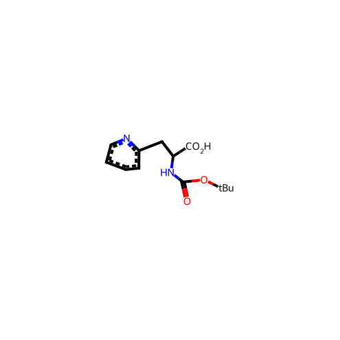 CC(C)(C)OC(=O)NC(Cc1ccccn1)C(=O)O